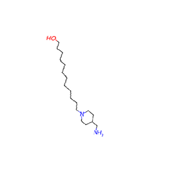 NCC1CCN(CCCCCCCCCCCCO)CC1